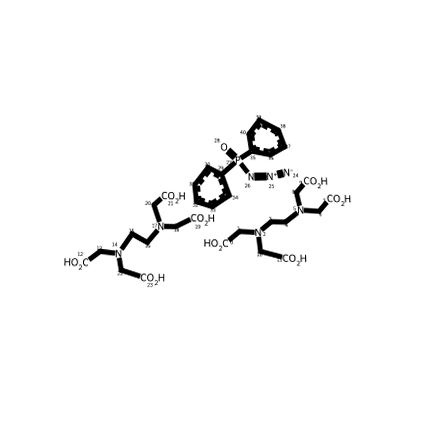 O=C(O)CN(CCN(CC(=O)O)CC(=O)O)CC(=O)O.O=C(O)CN(CCN(CC(=O)O)CC(=O)O)CC(=O)O.[N-]=[N+]=NP(=O)(c1ccccc1)c1ccccc1